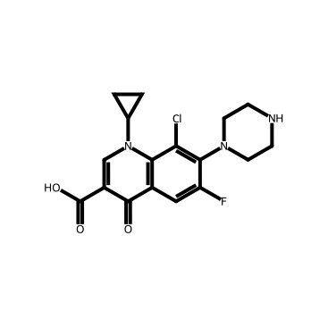 O=C(O)c1cn(C2CC2)c2c(Cl)c(N3CCNCC3)c(F)cc2c1=O